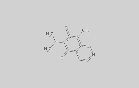 CC(C)n1c(=O)c2ccncc2n(C)c1=O